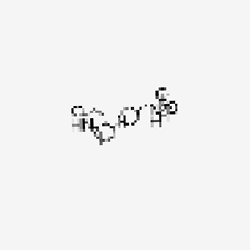 O=c1ccc2c(N3CCC(CN[SH](=O)=O)CC3)ccnc2[nH]1